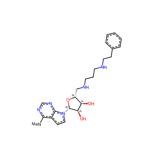 CNc1ncnc2c1ccn2[C@@H]1O[C@H](CNCCCNCCc2ccccc2)[C@@H](O)[C@H]1O